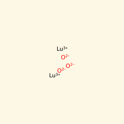 [Lu+3].[Lu+3].[O-2].[O-2].[O-2]